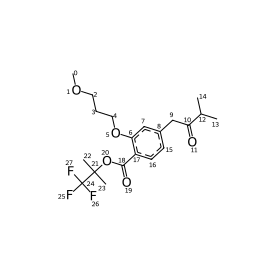 COCCCOc1cc(CC(=O)C(C)C)ccc1C(=O)OC(C)(C)C(F)(F)F